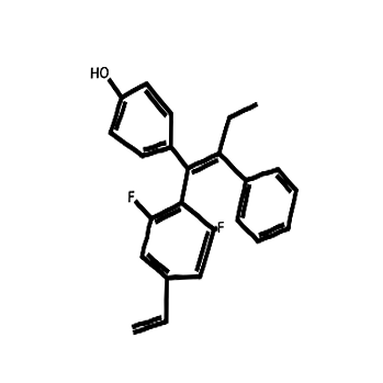 C=Cc1cc(F)c(/C(=C(/CC)c2ccccc2)c2ccc(O)cc2)c(F)c1